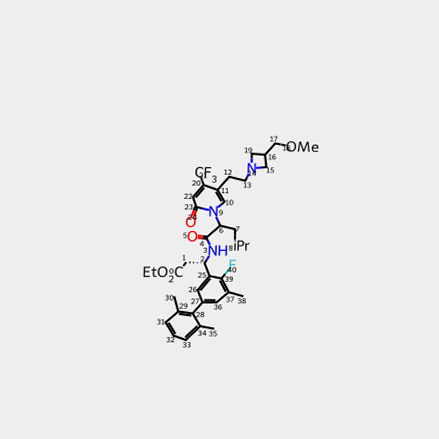 CCOC(=O)C[C@H](NC(=O)C(CC(C)C)n1cc(CCN2CC(COC)C2)c(C(F)(F)F)cc1=O)c1cc(-c2c(C)cccc2C)cc(C)c1F